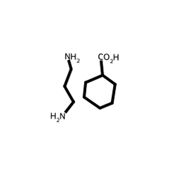 NCCCN.O=C(O)C1CCCCC1